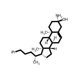 CC(C)CCC[C@@H](C)[C@H]1CC[C@H]2[C@@H]3CC=C4C[C@](N)(O)CC[C@]4(C)[C@H]3CC[C@]12C